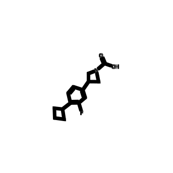 O=C(O)N1CC(c2ccc(C3CCC3)c(F)c2)C1